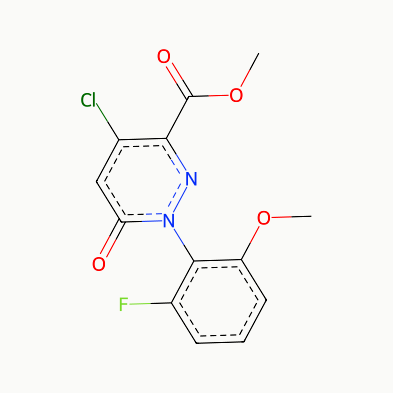 COC(=O)c1nn(-c2c(F)cccc2OC)c(=O)cc1Cl